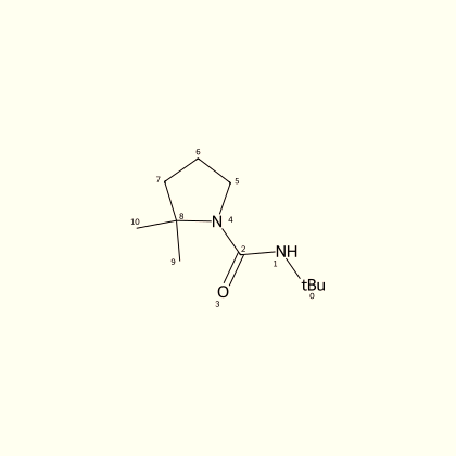 CC(C)(C)NC(=O)N1CCCC1(C)C